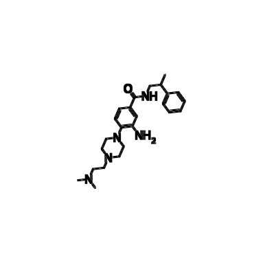 CC(CNC(=O)c1ccc(N2CCN(CCN(C)C)CC2)c(N)c1)c1ccccc1